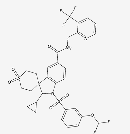 O=C(NCc1ncccc1C(F)(F)F)c1ccc2c(c1)C1(CCS(=O)(=O)CC1)C(C1CC1)N2S(=O)(=O)c1cccc(OC(F)F)c1